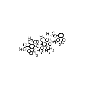 COc1cccc(OC)c1OCCCOc1c(C)c(C)c(C(=O)Oc2c(C)c(C)c(C(=O)O)c(OC)c2C)c(OC)c1C